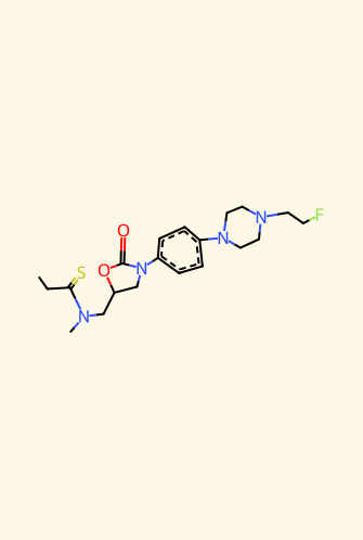 CCC(=S)N(C)CC1CN(c2ccc(N3CCN(CCF)CC3)cc2)C(=O)O1